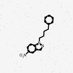 O=[N+]([O-])c1ccc2c(cnn2CCCCc2ccccc2)c1